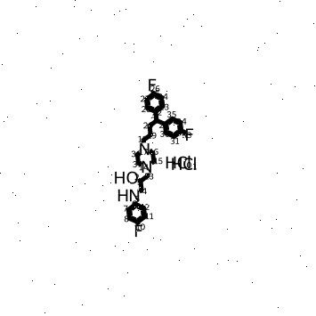 Cl.Cl.OC(CNc1ccc(F)cc1)CN1CCN(CCCC(c2ccc(F)cc2)c2ccc(F)cc2)CC1